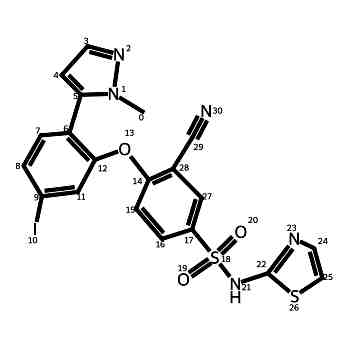 Cn1nccc1-c1ccc(I)cc1Oc1ccc(S(=O)(=O)Nc2nccs2)cc1C#N